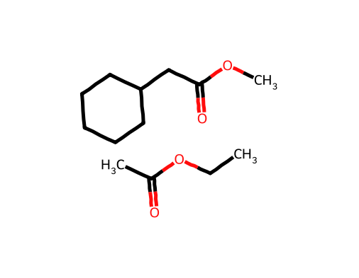 CCOC(C)=O.COC(=O)CC1CCCCC1